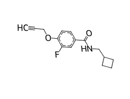 C#CCOc1ccc(C(=O)NCC2CCC2)cc1F